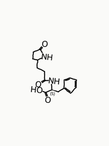 O=C1CCC(CCC(=O)N[C@@H](Cc2ccccc2)C(=O)O)N1